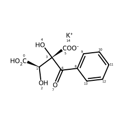 O=C(O)[C@H](O)[C@@](O)(C(=O)[O-])C(=O)c1ccccc1.[K+]